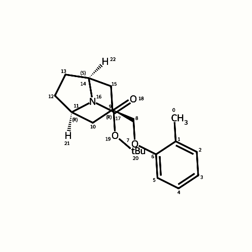 Cc1ccccc1OC[C@H]1C[C@H]2CC[C@@H](C1)N2C(=O)OC(C)(C)C